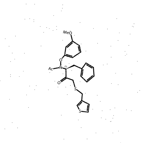 COc1cccc(ON(C(C)=O)[C@@H](Cc2ccccc2)C(=O)CSCc2ccsc2)c1